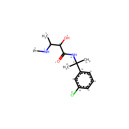 CC(C)NC(C)C(O)C(=O)NC(C)(C)c1cccc(Cl)c1